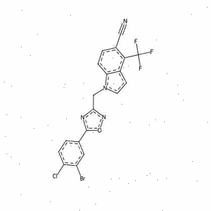 N#Cc1ccc2c(ccn2Cc2noc(-c3ccc(Cl)c(Br)c3)n2)c1C(F)(F)F